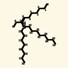 CCCCCCC=C(CC)[SiH](CCCCCCCC)CCCCCCCC